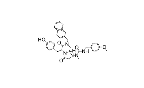 COc1ccc(CNC(=O)N(C)N2CC(=O)N3[C@@H](Cc4ccc(O)cc4)C(=O)N(CC4=CCC5C6=CC=CC5C46)C[C@@H]32)cc1